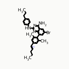 CCC/C=C/c1cc(C)c(-c2cc(Br)cc3c(N)nc(Nc4ccc(CCC)cc4)nc23)c(C)c1